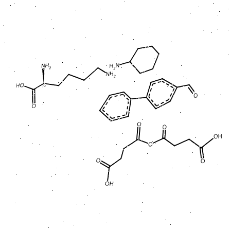 NC1CCCCC1.NCCCC[C@H](N)C(=O)O.O=C(O)CCC(=O)OC(=O)CCC(=O)O.O=Cc1ccc(-c2ccccc2)cc1